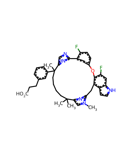 Cn1cc2nc1Cc1c(c(F)cc3[nH]ccc13)Oc1ccc(F)c(c1)-c1ncc([nH]1)C(C)(c1cccc(CCC(=O)O)c1)CCCCC2(C)C